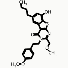 CCCCc1cc(O)c2sc3nc(COC)n(CCc4ccc(OC)cc4)c(=O)c3c2c1